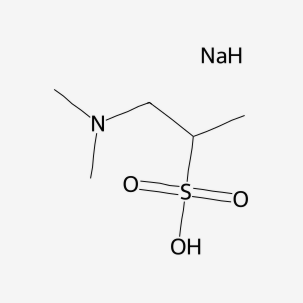 CC(CN(C)C)S(=O)(=O)O.[NaH]